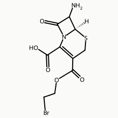 NC1C(=O)N2C(C(=O)O)=C(C(=O)OCCBr)CS[C@H]12